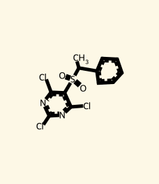 CC(c1ccccc1)S(=O)(=O)c1c(Cl)nc(Cl)nc1Cl